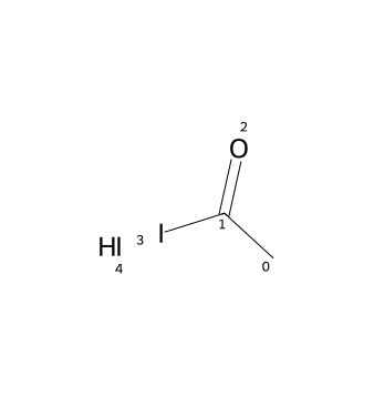 CC(=O)I.I